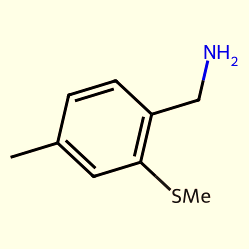 CSc1cc(C)ccc1CN